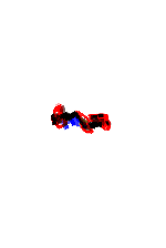 CO[Si](CCCNS(=O)(=O)CCC[Si](OC)(OC)OC)(OC)OC